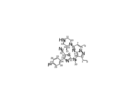 CCc1nn2c(C)cc(N3CCNC[C@@H]3C)nc2c1N(C)c1nc(-c2ccc(F)cc2)c(C#N)s1